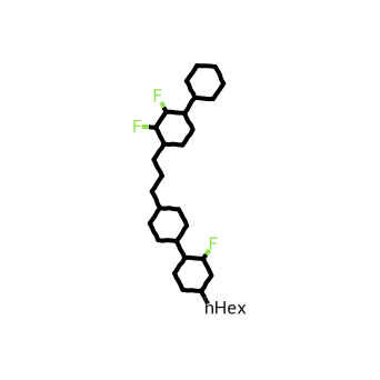 CCCCCCC1CCC(C2CCC(CCCC3CCC(C4CCCCC4)C(F)C3F)CC2)C(F)C1